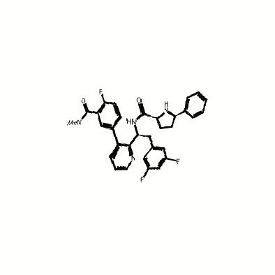 CNC(=O)c1cc(-c2cccnc2[C@H](Cc2cc(F)cc(F)c2)NC(=O)[C@@H]2CC[C@H](c3ccccc3)N2)ccc1F